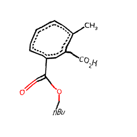 CCCCOC(=O)c1cccc(C)c1C(=O)O